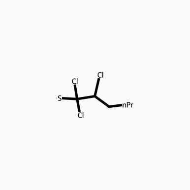 CCCCC(Cl)C([S])(Cl)Cl